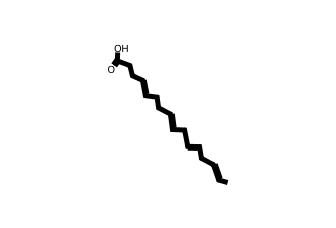 C/C=C/C/C=C/C/C=C/CC/C=C/CCC(=O)O